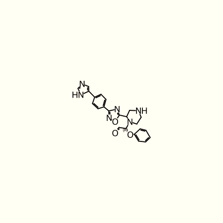 O=C[C@@H](Oc1ccccc1)N1CCNCC1c1nc(-c2ccc(-c3cnc[nH]3)cc2)no1